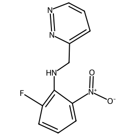 O=[N+]([O-])c1cccc(F)c1NCc1cccnn1